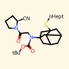 CCCCCCCSC12CC3CC(C1)CC(N(CC(=O)N1CCC[C@H]1C#N)C(=O)OC(C)(C)C)(C3)C2